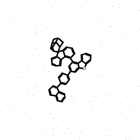 c1ccc2c(c1)-c1c(-c3cc(-c4ccc(-c5cccc6ccccc56)cc4)cc4oc5ccccc5c34)cccc1C21C2CC3CC(C2)CC1C3